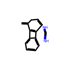 C=C1CC=CC2=C1c1ccccc12.N=C=N